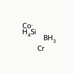 B.[Co].[Cr].[SiH4]